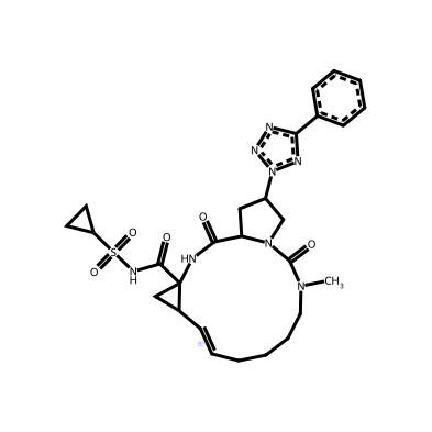 CN1CCCC/C=C/C2CC2(C(=O)NS(=O)(=O)C2CC2)NC(=O)C2CC(n3nnc(-c4ccccc4)n3)CN2C1=O